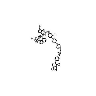 CS(=O)(=O)N1CCc2cccc(Nc3nc(Nc4ccc(N5CCC(N6CCN(CC7CN(c8ccc(C9CCC(=O)NC9=O)cc8)C7)CC6)CC5)c(F)c4)nc4[nH]ccc34)c21